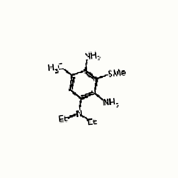 CCN(CC)c1cc(C)c(N)c(SC)c1N